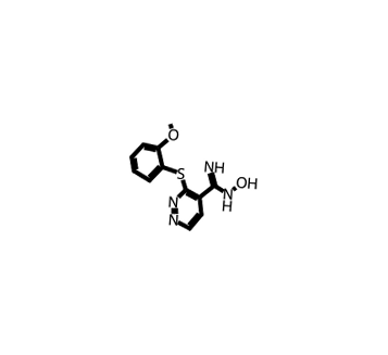 COc1ccccc1Sc1nnccc1C(=N)NO